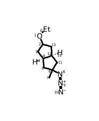 CCOC1C[C@@H]2CC(C)(N=[N+]=[N-])C[C@@H]2C1